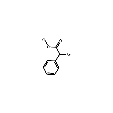 CC(=O)C(C(=O)OCl)c1ccccc1